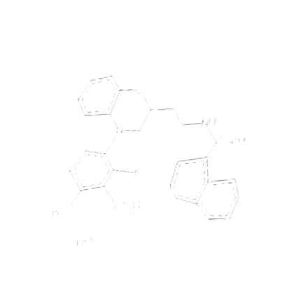 Cc1ccc(N2CC(CCN[C@H](C)c3cccc4ccccc34)Oc3ccccc32)c(F)c1C(=O)O.Cl